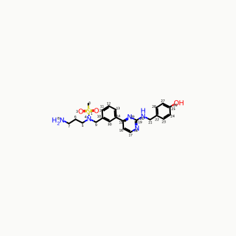 CS(=O)(=O)N(CCCN)Cc1cccc(-c2ccnc(NCc3ccc(O)cc3)n2)c1